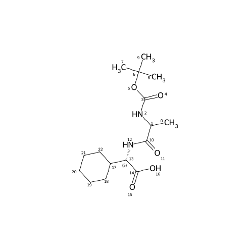 CC(NC(=O)OC(C)(C)C)C(=O)N[C@H](C(=O)O)C1CCCCC1